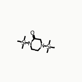 C[Si](C)(C)N1CCN([Si](C)(C)C)C(=O)C1